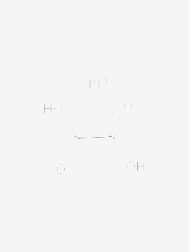 O=C(O)C(=O)O.[Pt+4]